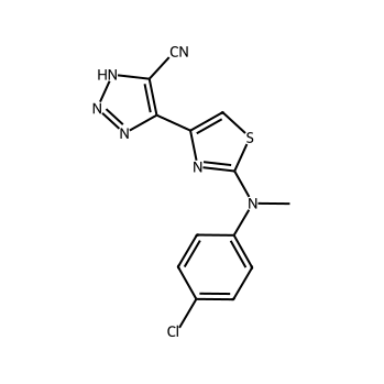 CN(c1ccc(Cl)cc1)c1nc(-c2nn[nH]c2C#N)cs1